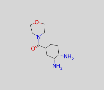 N[C@@H]1CC(C(=O)N2CCOCC2)CC[C@@H]1N